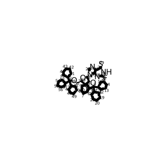 O[C@H]1[C@@H](OC(c2ccccc2)(c2ccccc2)c2ccccc2)[C@H](n2cnc3c(=S)[nH]c(F)nc32)O[C@@H]1COC(c1ccccc1)(c1ccccc1)c1ccccc1